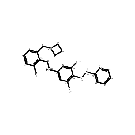 Fc1cccc(CN2CCC2)c1CNc1cc(F)c(SNc2ccccn2)c(F)c1